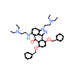 CCN(CC)CCNc1ccc2c3c(nn2CCN(CC)CC)-c2c(OCc4ccccc4)ccc(OCc4ccccc4)c2C(=O)c13